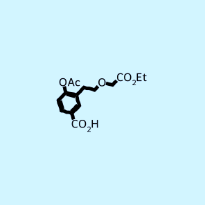 CCOC(=O)COCCc1cc(C(=O)O)ccc1OC(C)=O